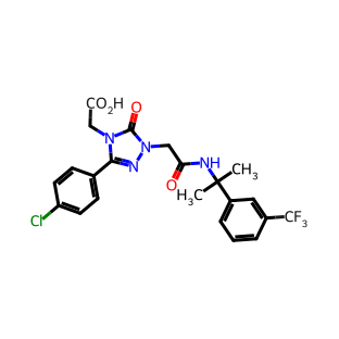 CC(C)(NC(=O)Cn1nc(-c2ccc(Cl)cc2)n(CC(=O)O)c1=O)c1cccc(C(F)(F)F)c1